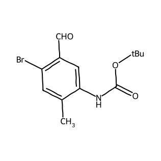 Cc1cc(Br)c(C=O)cc1NC(=O)OC(C)(C)C